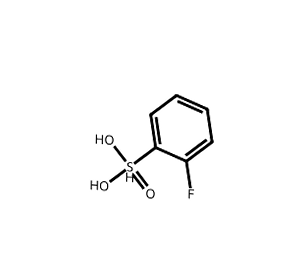 O=[SH](O)(O)c1ccccc1F